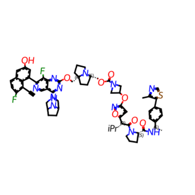 C#Cc1c(F)ccc2cc(O)cc(-c3ncc4c(N5CC6CCC(C5)N6)nc(OC[C@]56CCCN5[C@H](COC(=O)N5CC(Oc7cc([C@H](C(=O)N8CCC[C@H]8C(=O)N[C@@H](C)c8ccc(-c9scnc9C)cc8)C(C)C)on7)C5)CC6)nc4c3F)c12